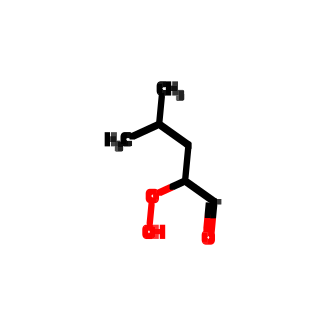 CC(C)CC([C]=O)OO